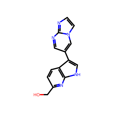 OCc1ccc2c(-c3cnc4nccn4c3)c[nH]c2n1